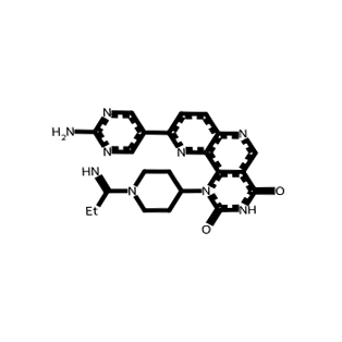 CCC(=N)N1CCC(n2c(=O)[nH]c(=O)c3cnc4ccc(-c5cnc(N)nc5)nc4c32)CC1